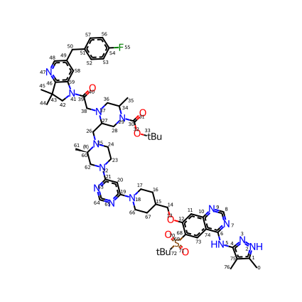 Cc1[nH]nc(Nc2ncnc3cc(OCC4CCN(c5cc(N6CCN(CC7CN(C(=O)OC(C)(C)C)C(C)CN7CC(=O)N7CC(C)(C)c8ncc(Cc9ccc(F)cc9)cc87)[C@H](C)C6)ncn5)CC4)c(S(=O)(=O)C(C)(C)C)cc23)c1C